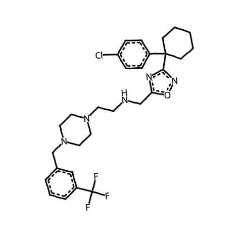 FC(F)(F)c1cccc(CN2CCN(CCNCc3nc(C4(c5ccc(Cl)cc5)CCCCC4)no3)CC2)c1